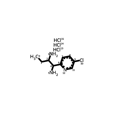 CCC(N)C(N)c1ccc(Cl)cn1.Cl.Cl.Cl